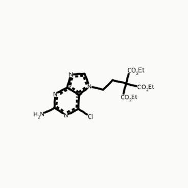 CCOC(=O)C(CCn1cnc2nc(N)nc(Cl)c21)(C(=O)OCC)C(=O)OCC